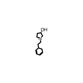 O[C@@H]1CCN(CCC2C=CC=CC2)C1